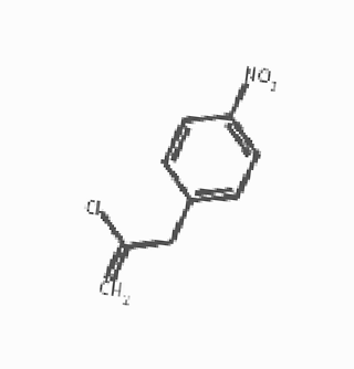 C=C(Cl)Cc1ccc([N+](=O)[O-])cc1